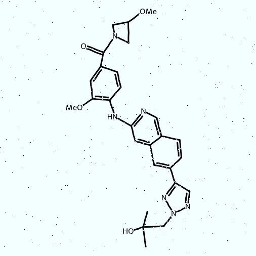 COc1cc(C(=O)N2CC(OC)C2)ccc1Nc1cc2cc(-c3cnn(CC(C)(C)O)n3)ccc2cn1